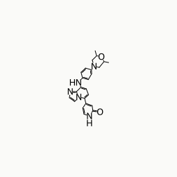 CC1CN(c2ccc(Nc3ccc(-c4cc[nH]c(=O)c4)n4ccnc34)cc2)CC(C)O1